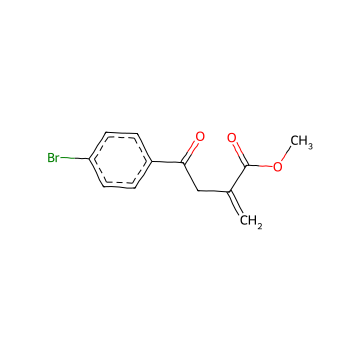 C=C(CC(=O)c1ccc(Br)cc1)C(=O)OC